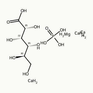 O=C(O)[C@H](O)[C@@H](O)[C@H](O)[C@H](O)CO.O=P(O)(O)O.[CaH2].[CaH2].[CaH2].[MgH2]